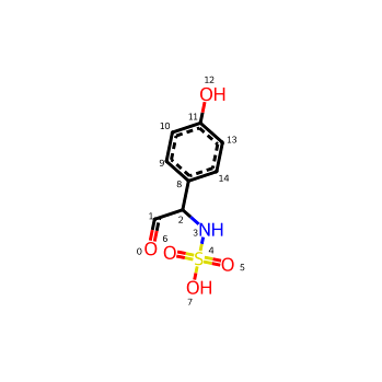 O=[C]C(NS(=O)(=O)O)c1ccc(O)cc1